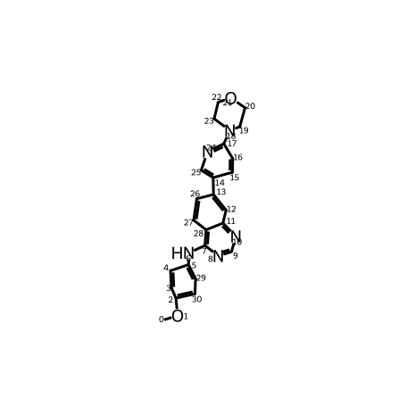 COc1ccc(Nc2ncnc3cc(-c4ccc(N5CCOCC5)nc4)ccc23)cc1